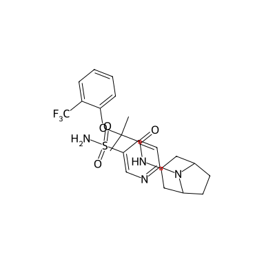 CC(C)(Oc1ccccc1C(F)(F)F)C(=O)NC1CC2CCC(C1)N2c1ccc(S(N)(=O)=O)cn1